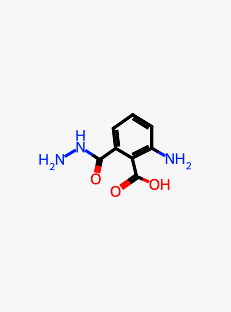 NNC(=O)c1cccc(N)c1C(=O)O